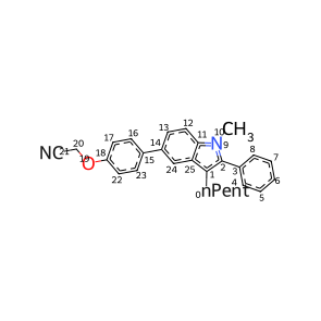 CCCCCc1c(-c2ccccc2)n(C)c2ccc(-c3ccc(OCC#N)cc3)cc12